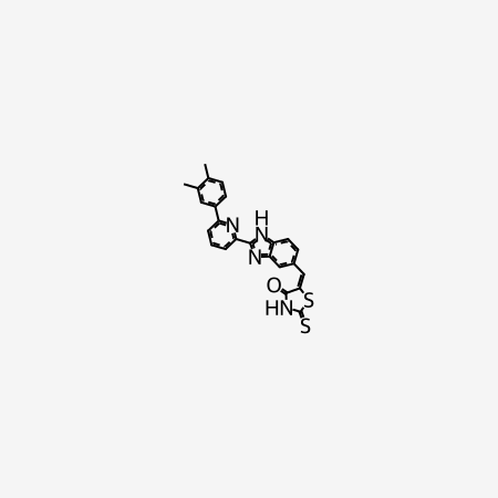 Cc1ccc(-c2cccc(-c3nc4cc(C=C5SC(=S)NC5=O)ccc4[nH]3)n2)cc1C